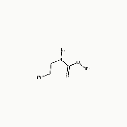 CCN(CCC(C)C)C(=O)OC(C)C